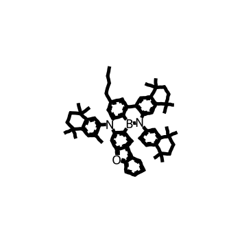 CCCCc1cc2c3c(c1)N(c1cc4c(cc1C)C(C)(C)CCC4(C)C)c1cc4oc5ccccc5c4cc1B3N(c1ccc3c(c1)C(C)(C)CCC3(C)C)c1cc3c(cc1-2)C(C)(C)CCC3(C)C